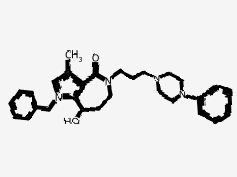 Cc1cn(Cc2ccccc2)c2c1C(=O)N(CCCN1CCN(c3ccccc3)CC1)CCC2O